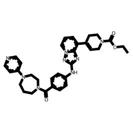 CCOC(=O)N1CC=C(c2cccn3nc(Nc4ccc(C(=O)N5CCCN(c6ccncc6)CC5)cc4)nc23)CC1